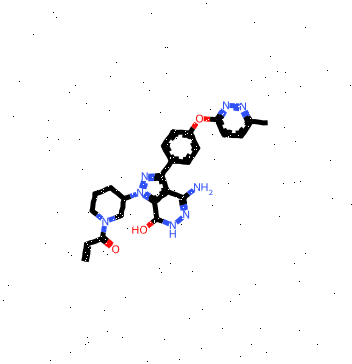 C=CC(=O)N1CCCC(n2nc(-c3ccc(Oc4ccc(C)nn4)cc3)c3c2C(O)NN=C3N)C1